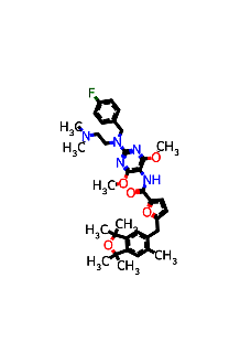 COc1nc(N(CCN(C)C)Cc2ccc(F)cc2)nc(OC)c1NC(=O)c1ccc(Cc2cc3c(cc2C)C(C)(C)OC3(C)C)o1